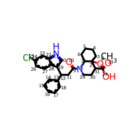 COC12CCCCC1N(C(=O)CC(c1ccccc1)c1c[nH]c3cc(Cl)ccc13)CCC2C(=O)O